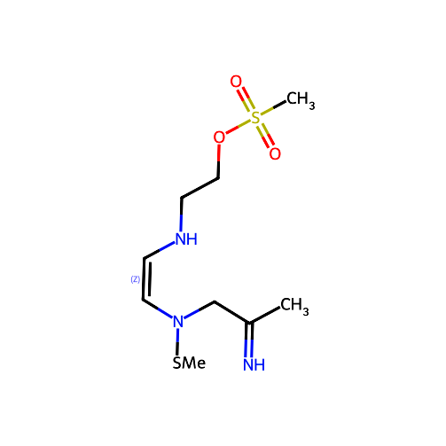 CSN(/C=C\NCCOS(C)(=O)=O)CC(C)=N